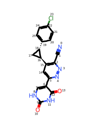 N#Cc1nnc(-c2c[nH]c(=O)[nH]c2=O)cc1[C@H]1C[C@@H]1c1ccc(Cl)cc1